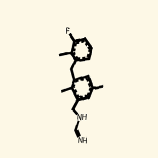 Cc1cc(CNC=N)c(C)c(Cc2cccc(F)c2C)c1